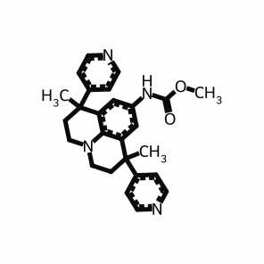 COC(=O)Nc1cc2c3c(c1)C(C)(c1ccncc1)CCN3CCC2(C)c1ccncc1